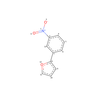 O=[N+]([O-])c1cccc(-c2[c]cco2)c1